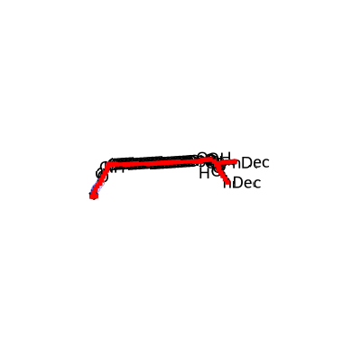 CCCCCCCCCCCCCCCCCC(=O)OC[C@H](COP(=O)(O)OCCNC(=O)OCCOOOOOOOOOOOOOOOOOOOOOOOOOOOOOOOOOOOOOOOOOOOO/C=C\NC(=O)CCCC(=O)OC/C=C(C)/C=C/C=C(C)/C=C/C1=C(C)CCCC1(C)C)OC(=O)CCCCCCCCCCCCCCCCC